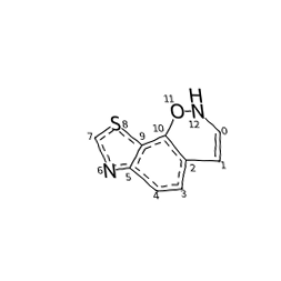 C1=Cc2ccc3ncsc3c2ON1